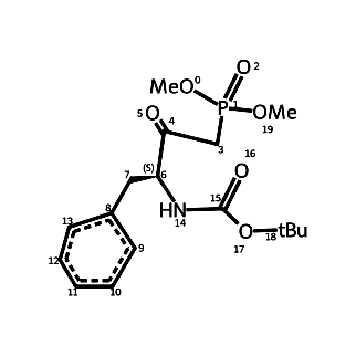 COP(=O)(CC(=O)[C@H](Cc1ccccc1)NC(=O)OC(C)(C)C)OC